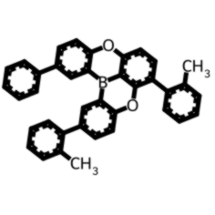 Cc1ccccc1-c1ccc2c(c1)B1c3cc(-c4ccccc4)ccc3Oc3ccc(-c4ccccc4C)c(c31)O2